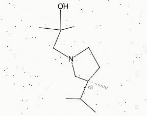 CC(C)[C@]1(C)CCN(CC(C)(C)O)C1